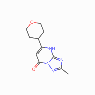 Cc1nc2[nH]c(C3CCOCC3)cc(=O)n2n1